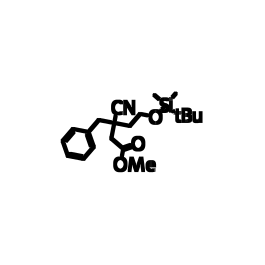 COC(=O)CC(C#N)(CCO[Si](C)(C)C(C)(C)C)Cc1ccccc1